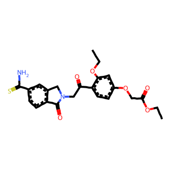 CCOC(=O)COc1ccc(C(=O)CN2Cc3cc(C(N)=S)ccc3C2=O)c(OCC)c1